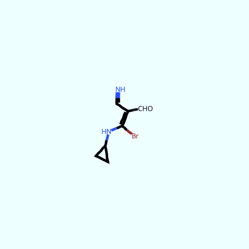 N=C/C(C=O)=C(/Br)NC1CC1